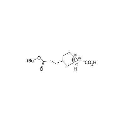 CC(C)(C)OC(=O)CCC1CC[C@@H]2[C@H](C1)[C@H]2C(=O)O